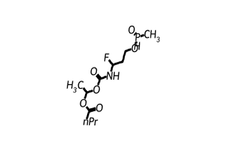 CCCC(=O)OC(C)OC(=O)NC(F)CCO[PH](C)=O